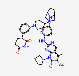 CC(=O)c1c(C)c2cnc(Nc3ccc(N4CC5CCC(C4)N5CC4CCN(c5cccc(C6CCC(=O)NC6=O)c5)CC4)cn3)nc2n(C2CCCC2)c1=O